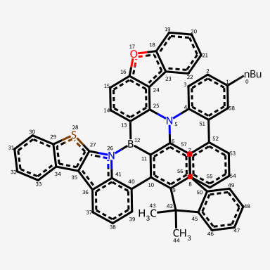 CCCCc1ccc(N2c3cc4c(c5c3B(c3ccc6oc7ccccc7c6c32)n2c3sc6ccccc6c3c3cccc-5c32)C(C)(C)c2ccccc2-4)c(-c2ccccc2)c1